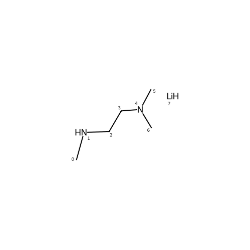 CNCCN(C)C.[LiH]